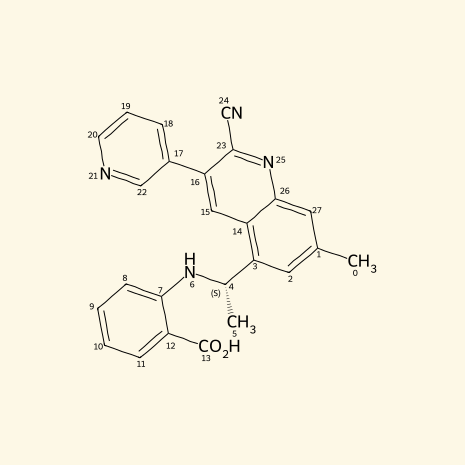 Cc1cc([C@H](C)Nc2ccccc2C(=O)O)c2cc(-c3cccnc3)c(C#N)nc2c1